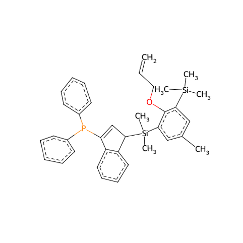 C=CCOc1c([Si](C)(C)C)cc(C)cc1[Si](C)(C)C1C=C(P(c2ccccc2)c2ccccc2)c2ccccc21